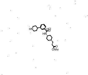 COC(=O)CC[C@H]1CC[C@H](NC(=O)c2cccc(C3CCNCC3)c2)CC1.Cl